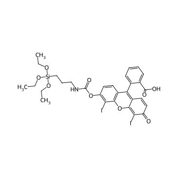 CCO[Si](CCCNC(=O)Oc1ccc2c(-c3ccccc3C(=O)O)c3ccc(=O)c(I)c-3oc2c1I)(OCC)OCC